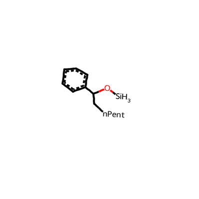 CCCCCCC(O[SiH3])c1ccccc1